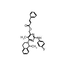 Cc1c(COC(=O)/C=C/c2ccccc2)nc(Nc2ccc(F)cc2)nc1N1CCc2ccccc2C1C